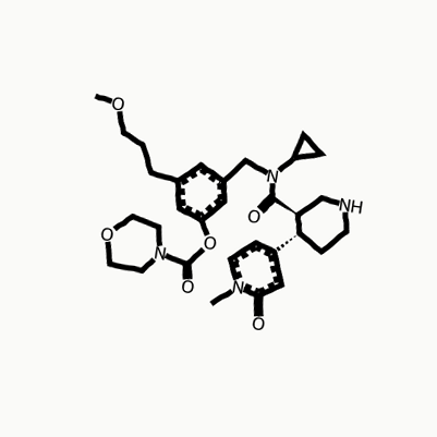 COCCCc1cc(CN(C(=O)[C@H]2CNCC[C@@H]2c2ccn(C)c(=O)c2)C2CC2)cc(OC(=O)N2CCOCC2)c1